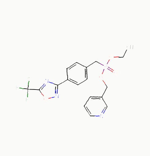 CCOP(=O)(Cc1ccc(-c2noc(C(F)(F)F)n2)cc1)OCc1cccnc1